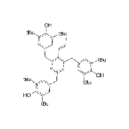 CC=Cc1c(Cc2cc(C(C)(C)C)c(O)c(C(C)(C)C)c2)cc(Cc2cc(C(C)(C)C)c(O)c(C(C)(C)C)c2)cc1Cc1cc(C(C)(C)C)c(O)c(C(C)(C)C)c1